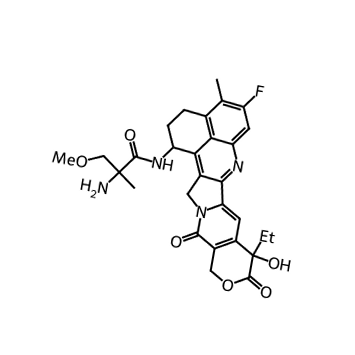 CCC1(O)C(=O)OCc2c1cc1n(c2=O)Cc2c-1nc1cc(F)c(C)c3c1c2C(NC(=O)C(C)(N)COC)CC3